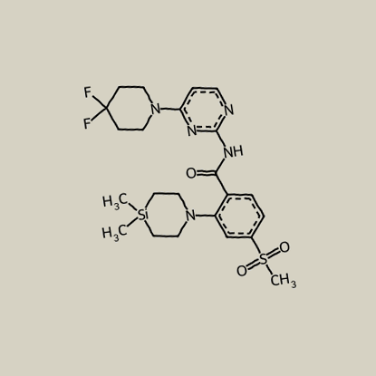 C[Si]1(C)CCN(c2cc(S(C)(=O)=O)ccc2C(=O)Nc2nccc(N3CCC(F)(F)CC3)n2)CC1